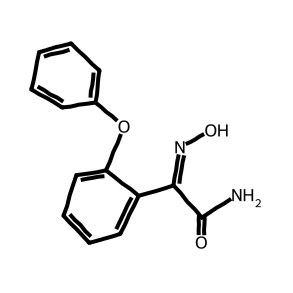 NC(=O)C(=NO)c1ccccc1Oc1ccccc1